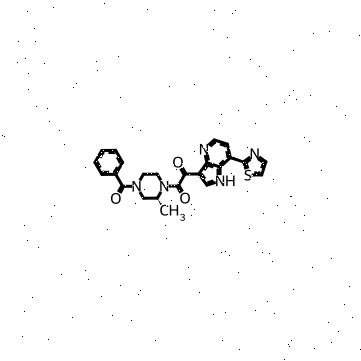 C[C@@H]1CN(C(=O)c2ccccc2)CCN1C(=O)C(=O)c1c[nH]c2c(-c3nccs3)ccnc12